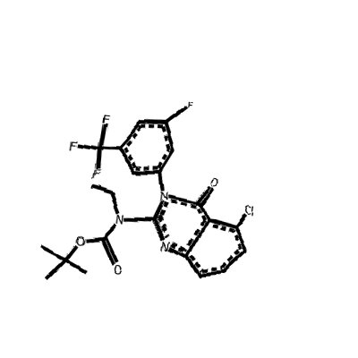 CCN(C(=O)OC(C)(C)C)c1nc2cccc(Cl)c2c(=O)n1-c1cc(F)cc(C(F)(F)F)c1